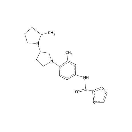 Cc1cc(NC(=O)c2cccs2)ccc1N1CCC(N2CCCC2C)C1